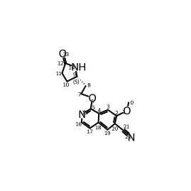 COc1cc2c(OCC[C@@H]3CCC(=O)N3)nccc2cc1C#N